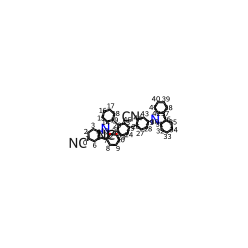 N#Cc1ccc2c(c1)c1ccccc1n2-c1ccccc1-c1c(C#N)ccc(-c2ccc(-n3c4ccccc4c4ccccc43)cc2)c1C#N